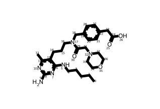 CCCCCNc1nc(N)nc(C)c1CCCN(Cc1ccc(CC(=O)O)cc1)C(=O)CN1CCOCC1